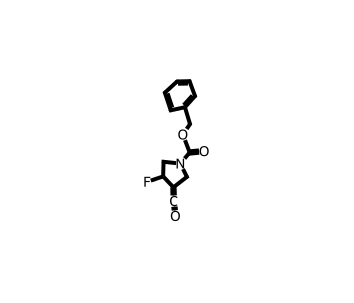 O=C=C1CN(C(=O)OCc2ccccc2)CC1F